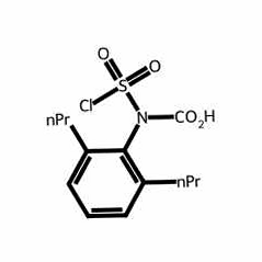 CCCc1cccc(CCC)c1N(C(=O)O)S(=O)(=O)Cl